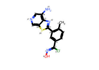 Cc1ccc(C(Cl)=NO)cc1-c1nc2c(N)cncc2s1